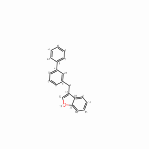 c1ccc(-c2cccc(Cc3coc4ccccc34)c2)cc1